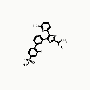 Cc1cccc(-c2[nH]c(C(C)C)nc2-c2cccc(-c3ccc(S(N)(=O)=O)cc3F)c2)n1